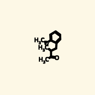 COc1ccccc1CC(C)C(C)=O